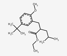 CCOC(=O)C(Cc1cc(C(C)(C)C)ccc1OC)CC(C)C